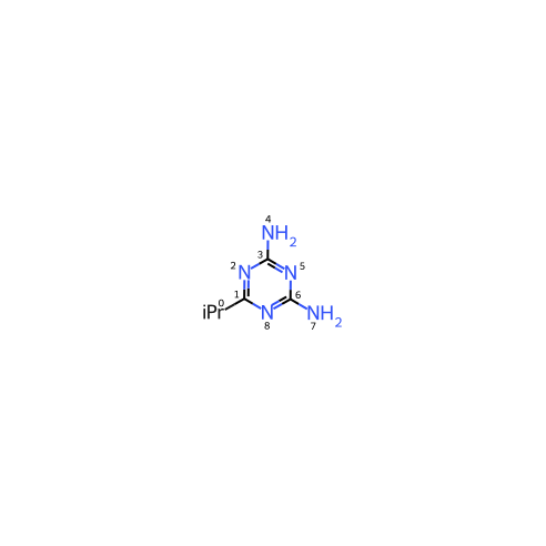 CC(C)c1nc(N)nc(N)n1